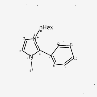 CCCCCC[n+]1ccn(C)c1-c1ccccc1